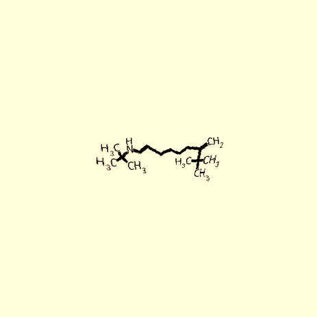 C=C(CCCCCCNC(C)(C)C)C(C)(C)C